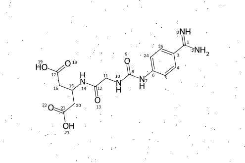 N=C(N)c1ccc(NC(=O)NCC(=O)NC(CC(=O)O)CC(=O)O)cc1